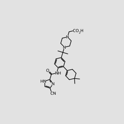 CC1(C)CC=C(c2cc(C(C)(C)N3CCN(CC(=O)O)CC3)ccc2NC(=O)c2nc(C#N)c[nH]2)CC1